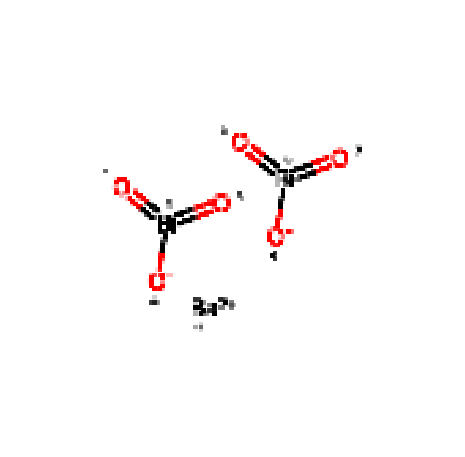 [Ba+2].[O]=[Bi](=[O])[O-].[O]=[Bi](=[O])[O-]